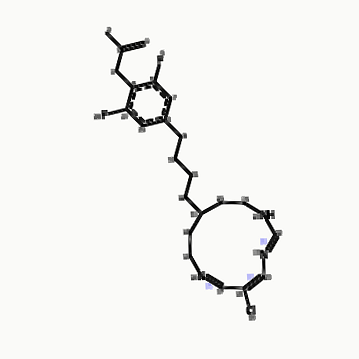 C=C(C)Cc1c(F)cc(CCCCC2CC\N=C/C(Cl)=C\N=C\NCC2)cc1F